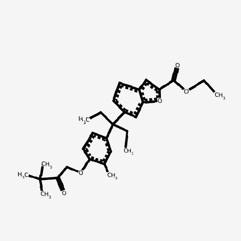 CCOC(=O)c1cc2ccc(C(CC)(CC)c3ccc(OCC(=O)C(C)(C)C)c(C)c3)cc2o1